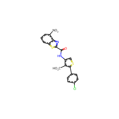 O=C(Nc1csc(-c2ccc(Cl)cc2)c1C(=O)O)c1nc2c([N+](=O)[O-])cccc2s1